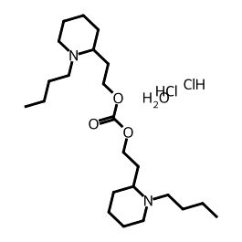 CCCCN1CCCCC1CCOC(=O)OCCC1CCCCN1CCCC.Cl.Cl.O